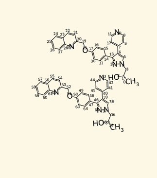 C[C@@H](O)Cn1cc(-c2ccncc2)c(-c2ccc(OCc3ccc4ccccc4n3)cc2)n1.C[C@H](O)Cn1cc(-c2ccncc2)c(-c2ccc(OCc3ccc4ccccc4n3)cc2)n1